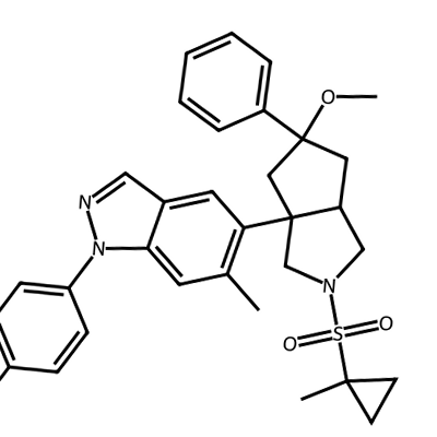 COC1(c2ccccc2)CC2CN(S(=O)(=O)C3(C)CC3)CC2(c2cc3cnn(-c4ccc(F)cc4)c3cc2C)C1